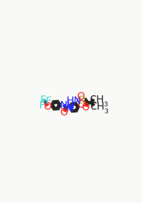 CC(C)C(=O)CS(=O)(=O)N[C@@H]1CCCN(C(=O)Nc2ccc(OC(F)(F)F)cc2)C1